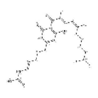 CC(=CC=C(C)C(=O)c1c(O)cc(CCCC=CNC(=O)O)oc1=O)CCCCC(F)F